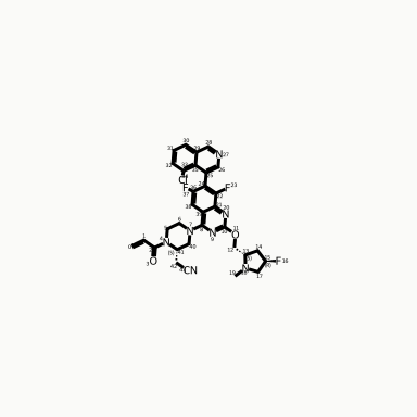 C=CC(=O)N1CCN(c2nc(OC[C@@H]3C[C@@H](F)CN3C)nc3c(F)c(-c4cncc5cccc(Cl)c45)c(F)cc23)C[C@@H]1CC#N